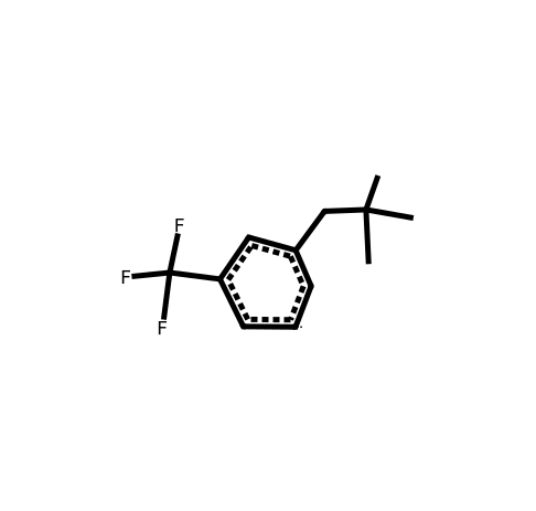 CC(C)(C)Cc1c[c]cc(C(F)(F)F)c1